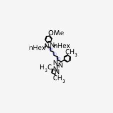 CCCCCCN1/C(=C/C=C/C=C2\N=C(n3nc(C)cc3C)N=C2c2cccc(C)c2)N(CCCCCC)c2cc(OC)ccc21